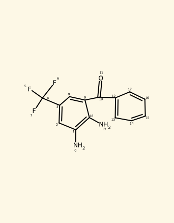 Nc1cc(C(F)(F)F)cc(C(=O)c2ccccc2)c1N